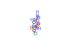 O=C(Nc1ccc(CN2C(=O)c3ccc(Cl)cc3NC(=O)[C@H]2Cc2ccccn2)cc1)c1c[nH]cn1